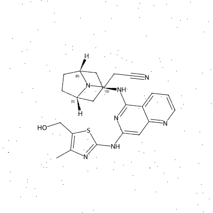 Cc1nc(Nc2cc3ncccc3c(N[C@@H]3C[C@H]4CC[C@@H](C3)N4CCC#N)n2)sc1CO